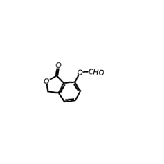 O=COc1cccc2c1C(=O)OC2